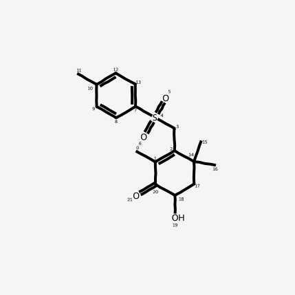 CC1=C(CS(=O)(=O)c2ccc(C)cc2)C(C)(C)CC(O)C1=O